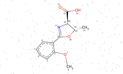 COc1ccccc1C1=N[C@@H](C(=O)O)[C@H](C)O1